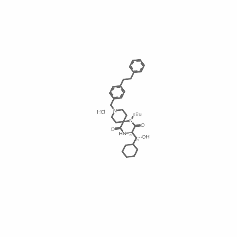 CCCCN1C(=O)[C@@H]([C@H](O)C2CCCCC2)NC(=O)C12CCN(Cc1ccc(CCc3ccccc3)cc1)CC2.Cl